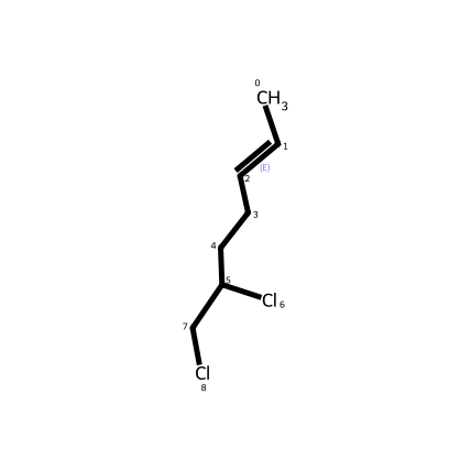 C/C=C/CCC(Cl)CCl